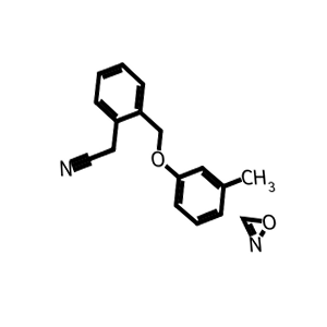 C1=NO1.Cc1cccc(OCc2ccccc2CC#N)c1